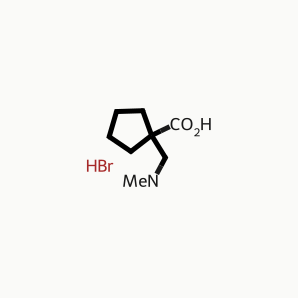 Br.CNCC1(C(=O)O)CCCC1